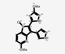 COc1ccc2c(n1)c(-c1cn[nH]c1)c(-c1nc(OC)n[nH]1)n2Cl